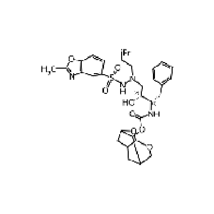 Cc1nc2cc(S(=O)(=O)NN(CCC(C)C)C[C@@H](O)[C@H](Cc3ccccc3)NC(=O)OC3C4COC5OC3CC5C4)ccc2o1